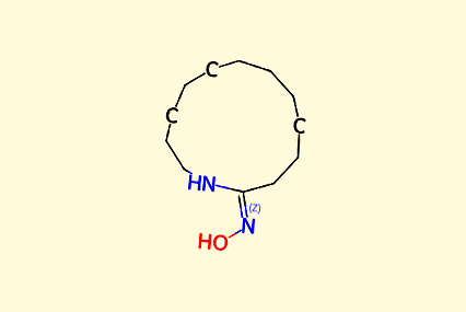 O/N=C1/CCCCCCCCCCCN1